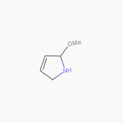 COC1C=C[CH]N1